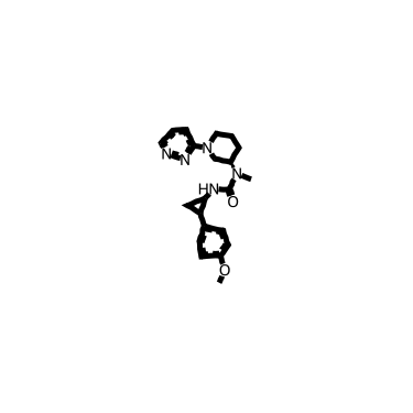 COc1ccc(C2CC2NC(=O)N(C)[C@@H]2CCCN(c3cccnn3)C2)cc1